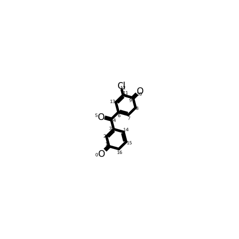 O=C1C=C(C(=O)C2=CCC(=O)C(Cl)=C2)C=CC1